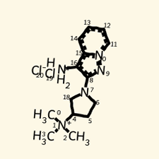 C[N+](C)(C)C1CCN(c2nn3ccccc3c2N)C1.Cl.[Cl-]